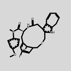 COc1ccc(N(C)C(=O)[C@@H]2CC3=CC(F)=CC(CCCc4[nH]c5c(c4CC(=O)N2)C=CC=CC5)C3S)cc1